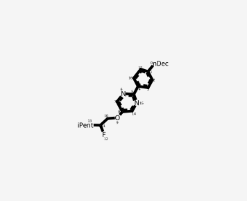 CCCCCCCCCCc1ccc(-c2ncc(OCC(F)C(C)CCC)cn2)cc1